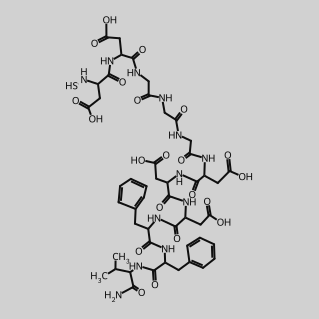 CC(C)C(NC(=O)C(Cc1ccccc1)NC(=O)C(Cc1ccccc1)NC(=O)C(CC(=O)O)NC(=O)C(CC(=O)O)NC(=O)C(CC(=O)O)NC(=O)CNC(=O)CNC(=O)CNC(=O)C(CC(=O)O)NC(=O)C(CC(=O)O)NS)C(N)=O